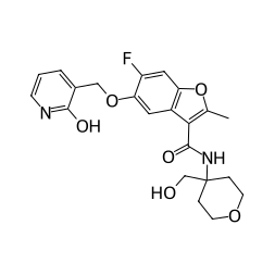 Cc1oc2cc(F)c(OCc3cccnc3O)cc2c1C(=O)NC1(CO)CCOCC1